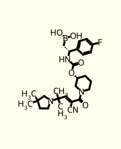 CC1(C)CCN(C(C)(C)C=C(C#N)C(=O)N2CCC[C@H](OC(=O)N[C@H](CB(O)O)c3ccc(F)cc3)C2)C1